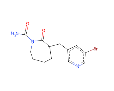 NC(=O)N1CCCC[C](Cc2cncc(Br)c2)C1=O